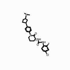 CN(C)C1CCC(c2ccc(N3CCC[C@@H](NC(=O)Nc4ccc(Cl)cc4F)C3=O)cc2)C1